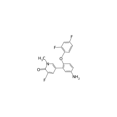 Cn1cc(-c2cc(N)ccc2Oc2ccc(F)cc2F)cc(F)c1=O